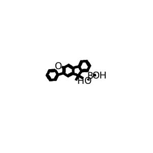 CC1(C)c2cc3c(cc2-c2cccc(B(O)O)c21)oc1ccccc13